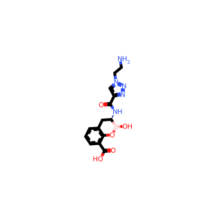 NCCn1cc(C(=O)N[C@H]2Cc3cccc(C(=O)O)c3OB2O)nn1